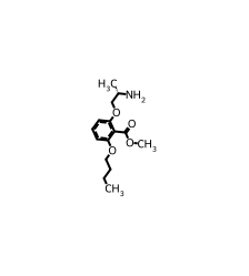 CCCCOc1cccc(OC[C@H](C)N)c1C(=O)OC